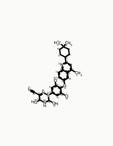 Cc1cc(C2CCC(C)(C)CC2)nc2ccc(Oc3c(Cl)cc(N4N=C(C#N)C(O)NC4O)cc3Cl)cc12